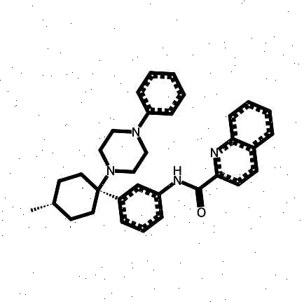 C[C@H]1CC[C@](c2cccc(NC(=O)c3ccc4ccccc4n3)c2)(N2CCN(c3ccccc3)CC2)CC1